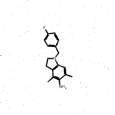 Cc1cc2c(c(C)c1N)CCN2Cc1ccc(F)cc1